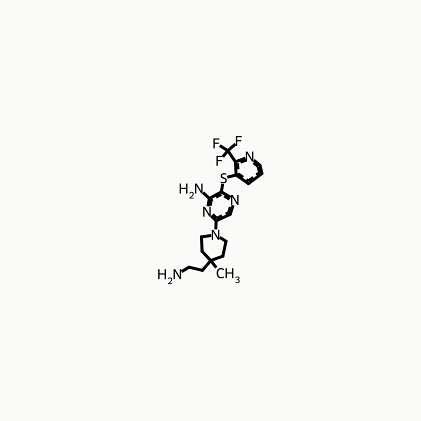 CC1(CCN)CCN(c2cnc(Sc3cccnc3C(F)(F)F)c(N)n2)CC1